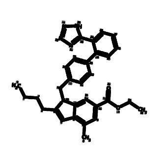 CCCCc1cc2c(C)cc(C(=O)OCC)nc2n1Cc1ccc(-c2ccccc2-c2nnn[nH]2)cc1